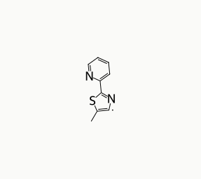 Cc1[c]nc(-c2ccccn2)s1